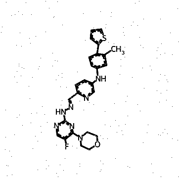 Cc1cc(Nc2ccc(/C=N/Nc3ncc(F)c(N4CCOCC4)n3)nc2)ccc1-c1cccs1